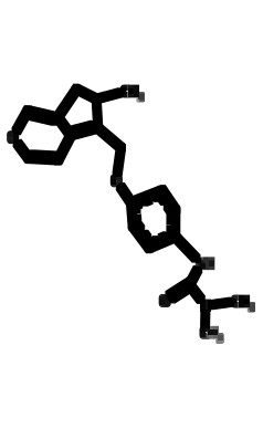 CC1CC2=COC=CC2=C1COc1ccc(NC(=O)N(C)C)cc1